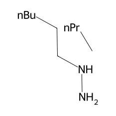 CCCC.CCCCCCNN